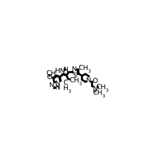 COc1cc(-c2[nH]nc(-c3nc(C)c(C4CCN(C(=O)CN(C)C)CC4)s3)c2C(C)C)cn2ncnc12